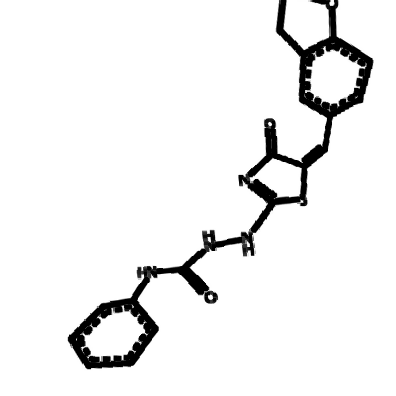 O=C(NNC1=NC(=O)C(=Cc2ccc3c(c2)CCO3)S1)Nc1ccccc1